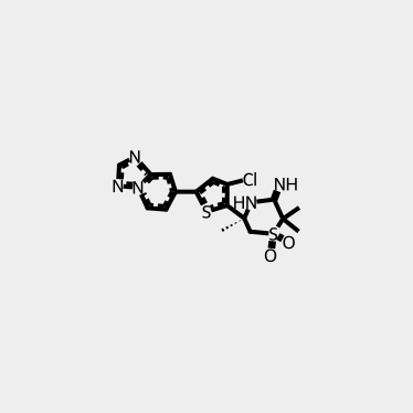 CC1(C)C(=N)N[C@](C)(c2sc(-c3ccn4ncnc4c3)cc2Cl)CS1(=O)=O